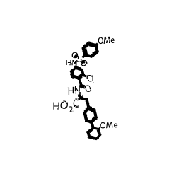 COc1ccc(S(=O)(=O)Nc2ccc(C(=O)N[C@@H](Cc3ccc(-c4ccccc4OC)cc3)C(=O)O)c(Cl)c2)cc1